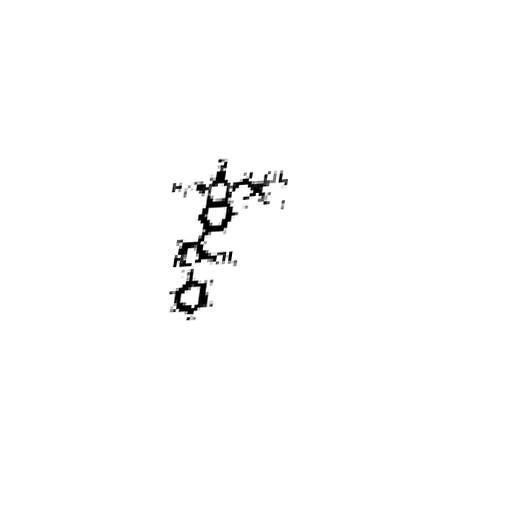 Cc1c(-c2ccc3c(c2)n(C)c(=O)n3CC(C)(C)C)cnn1-c1ccccc1